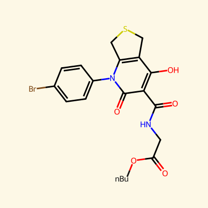 CCCCOC(=O)CNC(=O)c1c(O)c2c(n(-c3ccc(Br)cc3)c1=O)CSC2